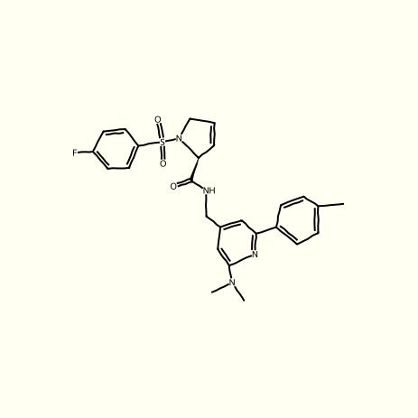 Cc1ccc(-c2cc(CNC(=O)[C@@H]3C=CCN3S(=O)(=O)c3ccc(F)cc3)cc(N(C)C)n2)cc1